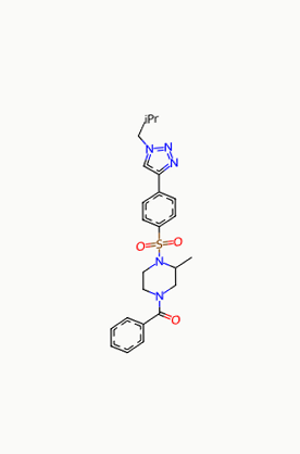 CC(C)Cn1cc(-c2ccc(S(=O)(=O)N3CCN(C(=O)c4ccccc4)CC3C)cc2)nn1